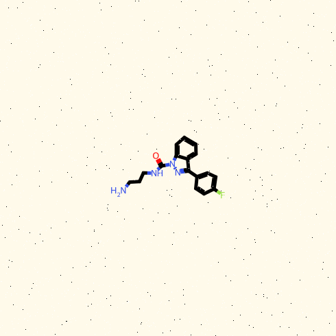 NCCCNC(=O)n1nc(-c2ccc(F)cc2)c2c[c]ccc21